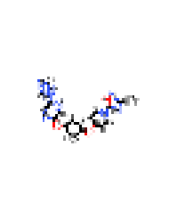 CC(C)c1noc(N2CCC(OC3CCC(Oc4cnc(-n5cncn5)cn4)CC3)CC2)n1